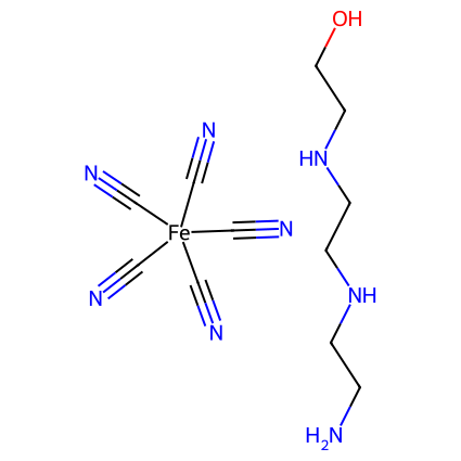 N#[C][Fe]([C]#N)([C]#N)([C]#N)[C]#N.NCCNCCNCCO